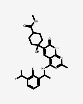 CNC(=O)C1CCC(O)(c2cc3c(NC(C)c4cccc(C(F)F)c4F)nc(C)nc3[nH]c2=O)CC1